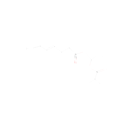 CCC=CCCC(=O)OC(C)OC(=O)C(C)C